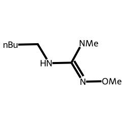 CCCCCN/C(=N/OC)NC